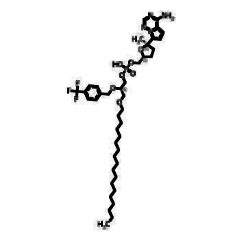 CCCCCCCCCCCCCCCCCCOC[C@H](COP(=O)(O)OC[C@@H]1CC[C@](C)(c2ccc3c(N)ncnn23)O1)OCc1ccc(C(F)(F)F)cc1